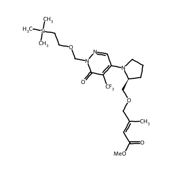 COC(=O)/C=C(\C)COC[C@@H]1CCCN1c1cnn(COCC[Si](C)(C)C)c(=O)c1C(F)(F)F